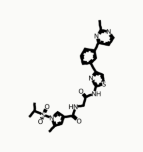 Cc1nccc(-c2cccc(-c3csc(NC(=O)CNC(=O)c4cc(C)n(S(=O)(=O)C(C)C)c4)n3)c2)n1